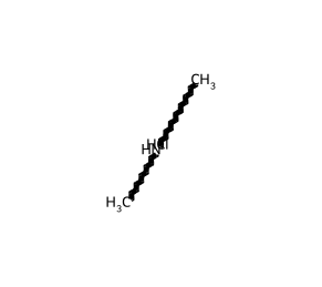 CCCCCCCCCCCCCCCCNCCCCCCCCCCCC.Cl